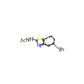 CC(=O)Nc1nc2cc(C(C)C)ccc2s1